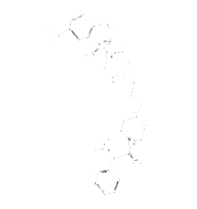 COc1ccc(OC)c(S(=O)(=O)N2CCC(CCCC3CCN(C(=O)C(c4ccccc4)N(C)C)CC3)CC2)c1